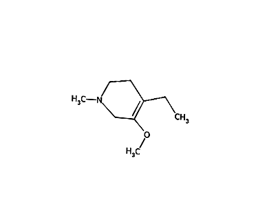 CCC1=C(OC)CN(C)CC1